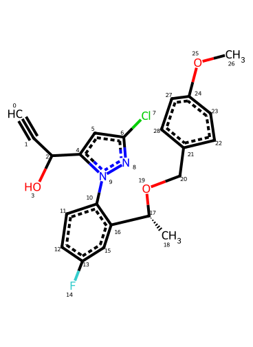 C#CC(O)c1cc(Cl)nn1-c1ccc(F)cc1[C@@H](C)OCc1ccc(OC)cc1